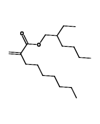 C=C(CCCCCCC)C(=O)OCC(CC)CCCC